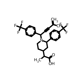 C=C(C)C#CC(c1ccc(C(F)(F)F)cc1)N1CCC(C(C)C(=O)O)CC1c1ccc(C(F)(F)F)cc1